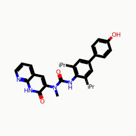 CC(C)c1cc(-c2ccc(O)cc2)cc(C(C)C)c1NC(=O)N(C)c1cc2cccnc2[nH]c1=O